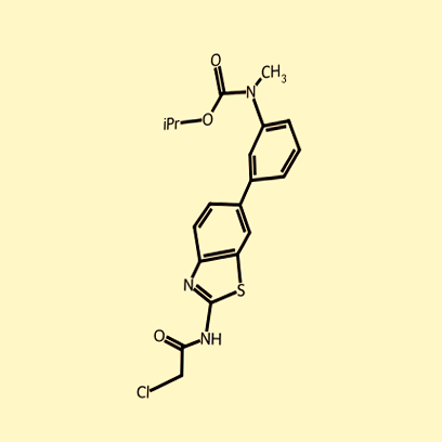 CC(C)OC(=O)N(C)c1cccc(-c2ccc3nc(NC(=O)CCl)sc3c2)c1